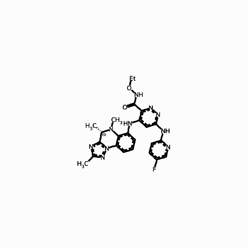 CCONC(=O)c1nnc(Nc2ccc(F)cn2)cc1Nc1cccc2c1N(C)[C@@H](C)c1nc(C)nn1-2